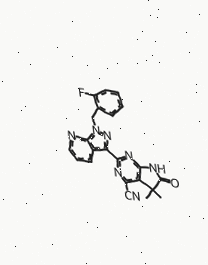 CC1(C)C(=O)Nc2nc(-c3nn(Cc4ccccc4F)c4ncccc34)nc(C#N)c21